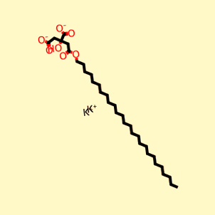 CCCCCCCCCCCCCCCCCCCCCCCCCCOC(=O)CC(O)(CC(=O)[O-])C(=O)[O-].[K+].[K+]